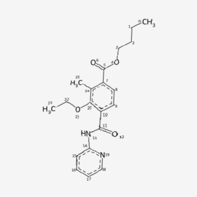 CCCCOC(=O)c1ccc(C(=O)Nc2ccccn2)c(OCC)c1C